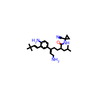 CC(C)CC(CC/C(=C\CN)c1ccc(N)c(C=CC(C)(C)C)c1)C(=O)NC1(C#N)CC1